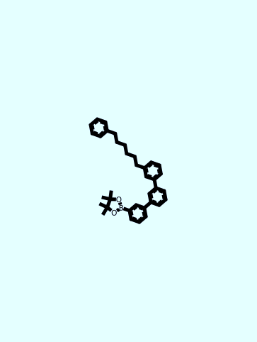 CC1(C)OB(c2cccc(-c3cccc(-c4cccc(CCCCCCc5ccccc5)c4)c3)c2)OC1(C)C